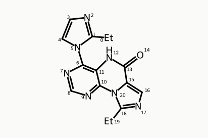 CCc1nccn1-c1ncnc2c1[nH]c(=O)c1cnc(CC)n12